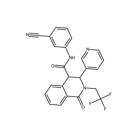 N#Cc1cccc(NC(=O)C2c3ccccc3C(=O)N(CC(F)(F)F)C2c2cccnc2)c1